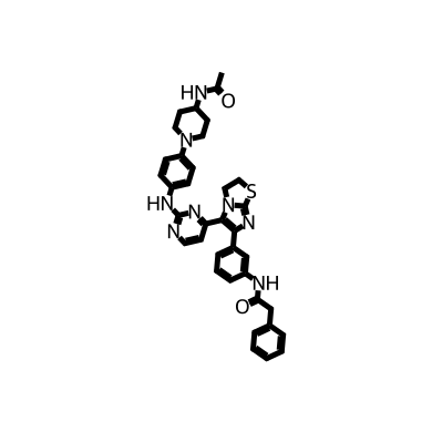 CC(=O)NC1CCN(c2ccc(Nc3nccc(-c4c(-c5cccc(NC(=O)Cc6ccccc6)c5)nc5n4CCS5)n3)cc2)CC1